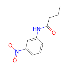 CCCC(=O)Nc1cccc([N+](=O)[O-])c1